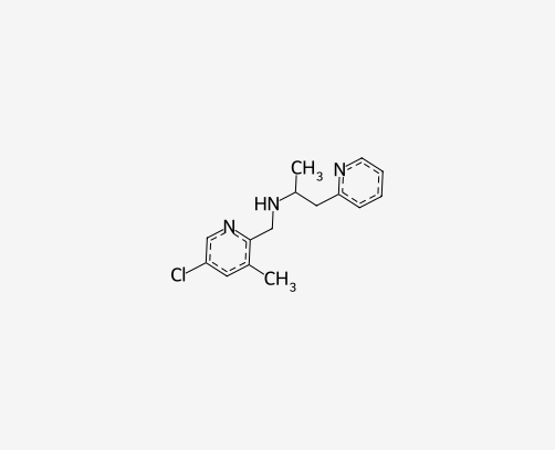 Cc1cc(Cl)cnc1CNC(C)Cc1ccccn1